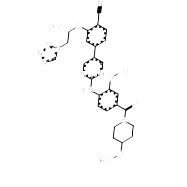 COc1cc(C(=O)N2CCC(OC)CC2)ccc1Nc1ncc(-c2ccc(C#N)c(O[C@@H](C)Cn3cnnn3)c2)cn1